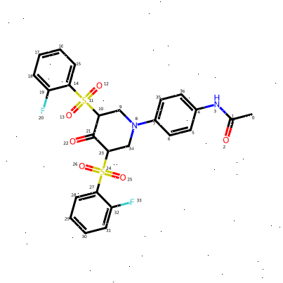 CC(=O)Nc1ccc(N2CC(S(=O)(=O)c3ccccc3F)C(=O)C(S(=O)(=O)c3ccccc3F)C2)cc1